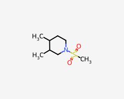 CC1CCN(S(C)(=O)=O)CC1C